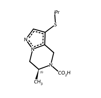 CC(C)Sc1cnn2c1CN(C(=O)O)[C@@H](C)C2